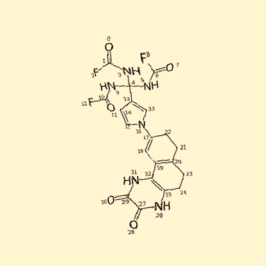 O=C(F)NC(NC(=O)F)(NC(=O)F)c1ccn(C2=CC3=C(CC2)CCc2[nH]c(=O)c(=O)[nH]c23)c1